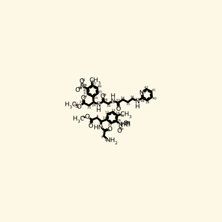 COC(=O)CC(NC(=O)CN)c1ccc(C)c([N+](=O)[O-])c1.COC(=O)CC(NC(=O)CNC(=O)CCCNc1ccccn1)c1ccc(C)c([N+](=O)[O-])c1.Cl